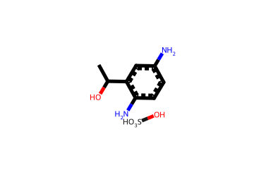 CC(O)c1cc(N)ccc1N.O=S(=O)(O)O